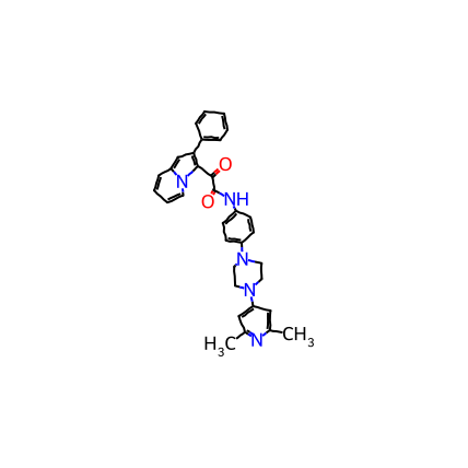 Cc1cc(N2CCN(c3ccc(NC(=O)C(=O)c4c(-c5ccccc5)cc5ccccn45)cc3)CC2)cc(C)n1